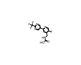 O=C(O)NCc1cc(-c2cnc(C(F)(F)F)nc2)ncc1F